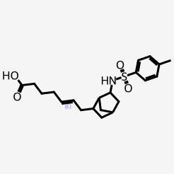 Cc1ccc(S(=O)(=O)NC2CC3CC(C/C=C/CCCC(=O)O)C2C3)cc1